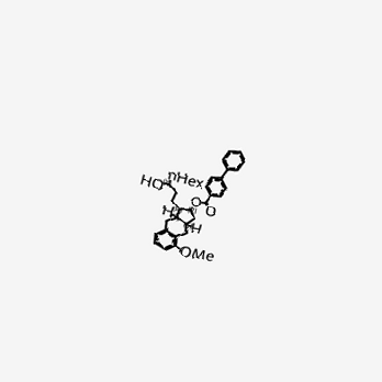 CCCCCC[C@H](O)CC[C@@H]1[C@H]2Cc3cccc(OC)c3C[C@H]2C[C@H]1OC(=O)c1ccc(-c2ccccc2)cc1